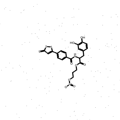 O=C(NC(Cc1ccc(O)c(O)c1)C(=O)OCCCO[N+](=O)[O-])c1ccc(-c2cc(=S)ss2)cc1